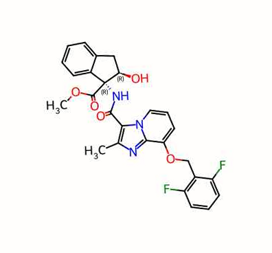 COC(=O)[C@@]1(NC(=O)c2c(C)nc3c(OCc4c(F)cccc4F)cccn23)c2ccccc2C[C@H]1O